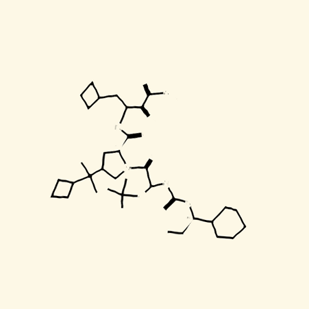 CC[C@@H](NC(=O)NC(OC(C)(C)C)C(=O)N1CC(C(C)(C)C2CCC2)C[C@H]1C(=O)NC(CC1CCC1)C(=O)C(N)=O)C1CCCCC1